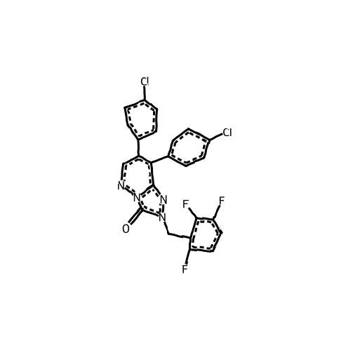 O=c1n(Cc2c(F)ccc(F)c2F)nc2c(-c3ccc(Cl)cc3)c(-c3ccc(Cl)cc3)cnn12